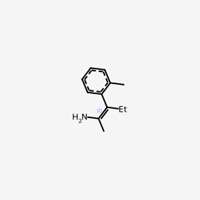 CC/C(=C(\C)N)c1ccccc1C